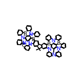 [C-]#[N+]c1c2c3c4c5c1N(c1ccccc1)c1cc6c(cc1B5c1ccccc1N4c1ccccc1B3c1ccccc1N2c1ccccc1)-c1cc2c(cc1C6(C)C)N(c1ccccc1)c1c(C#N)c3c4c5c1B2c1ccccc1N5c1ccccc1B4c1ccccc1N3c1ccccc1